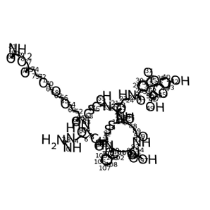 N=C(N)NCCC[C@@H]1CC(=O)[C@@H]2CSSC[C@H](NC(=O)[C@H](CCCCNC(=O)c3ccc4c(c3)C3(OC4=O)c4ccc(O)cc4Oc4cc(O)ccc43)NC(=O)CSC[C@@H](C(=O)CCCOCCOCCOCCCC(=O)COCC(N)=O)NC1=O)C(=O)CCC(=O)N[C@@H](CC(=O)O)C(=O)C[C@@H](Cc1ccccc1)C(=O)N2